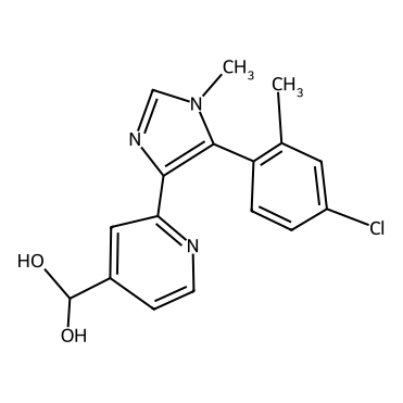 Cc1cc(Cl)ccc1-c1c(-c2cc(C(O)O)ccn2)ncn1C